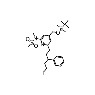 CN(c1cc(CO[Si](C)(C)C(C)(C)C)cc(CCC(CCI)c2ccccc2)n1)S(C)(=O)=O